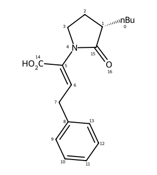 CCCC[C@H]1CCN(/C(=C/Cc2ccccc2)C(=O)O)C1=O